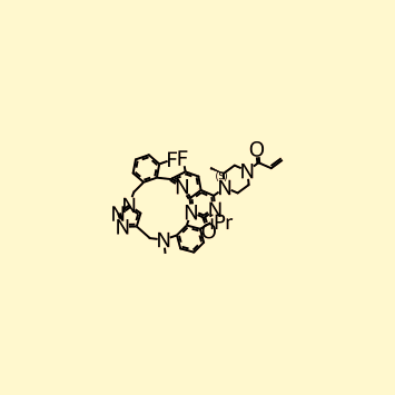 C=CC(=O)N1CCN(c2nc(=O)n3c4nc(c(F)cc24)-c2c(F)cccc2Cn2cc(nn2)CN(C)c2cccc(C(C)C)c2-3)[C@@H](C)C1